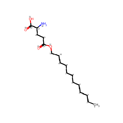 CCCCCCCCCCCCOC(=O)CCC(N)C(=O)O